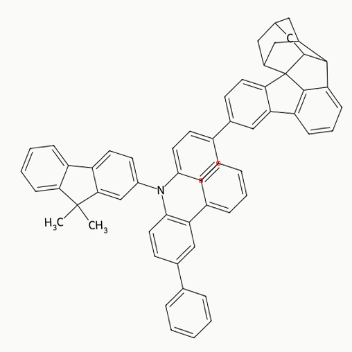 CC1(C)c2ccccc2-c2ccc(N(c3ccc(-c4ccc5c(c4)-c4cccc6c4C54C5CC7CC(C5)C6C4C7)cc3)c3ccc(-c4ccccc4)cc3-c3ccccc3)cc21